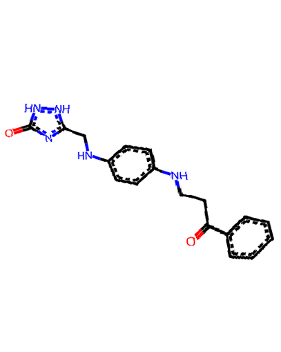 O=C(CCNc1ccc(NCc2nc(=O)[nH][nH]2)cc1)c1ccccc1